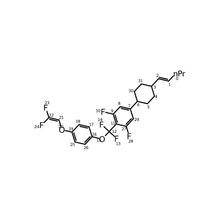 CCC/C=C/C1CCC(c2cc(F)c(C(F)(F)Oc3ccc(OC=C(F)F)cc3)c(F)c2)CC1